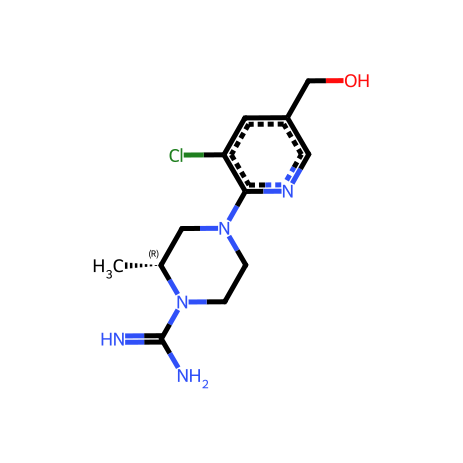 C[C@@H]1CN(c2ncc(CO)cc2Cl)CCN1C(=N)N